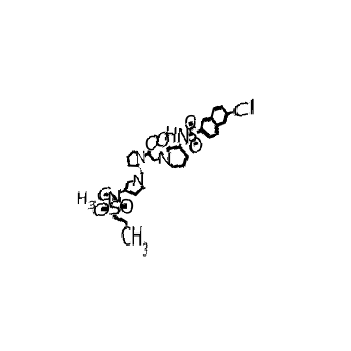 CCCS(=O)(=O)N(C)C1CCN(C[C@@H]2CCCN2C(=O)CN2CCC[C@H](NS(=O)(=O)c3ccc4cc(Cl)ccc4c3)C2=O)C1